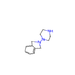 c1ccc2c(c1)CN(N1CCNCC1)C2